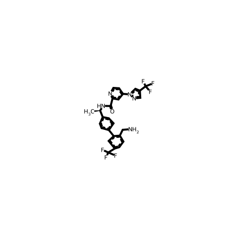 C[C@@H](NC(=O)c1cc(-n2cc(C(F)(F)F)cn2)ccn1)c1ccc(-c2cc(C(F)(F)F)ccc2CN)cc1